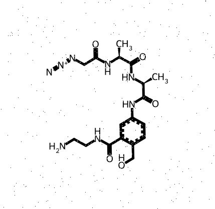 C[C@H](NC(=O)CN=[N+]=[N-])C(=O)N[C@@H](C)C(=O)Nc1ccc(CO)c(C(=O)NCCN)c1